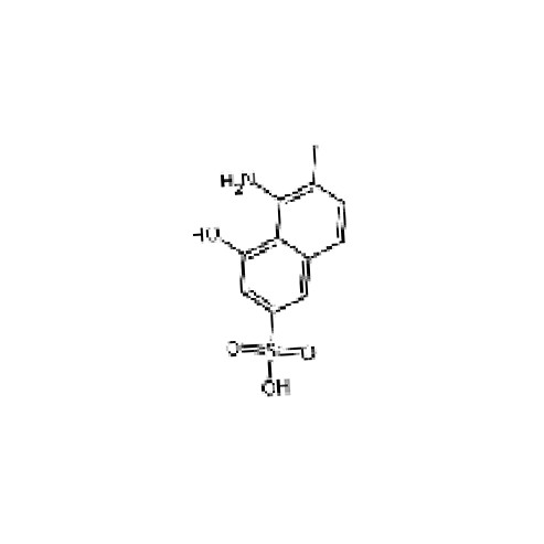 Cc1ccc2cc(S(=O)(=O)O)cc(O)c2c1N